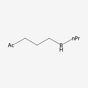 CCCBCCCC(C)=O